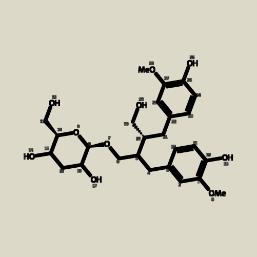 COc1cc(CC(CO[C@@H]2O[C@H](CO)C(O)CC2O)[C@H](CO)Cc2ccc(O)c(OC)c2)ccc1O